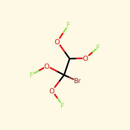 FO[C](OF)C(Br)(OF)OF